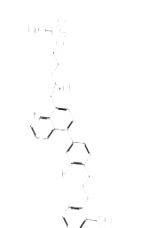 Cc1ccccc1CCCc1ccc(-c2ccc(CNCCCO[PH](=O)O)c3ncccc23)cc1F